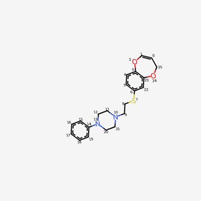 C1=COc2ccc(SCCN3CCN(c4ccccc4)CC3)cc2OC1